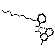 CCCCCCCCCCc1ccccc1S(=O)(=O)N(C)c1cc(C)cc2cccnc12